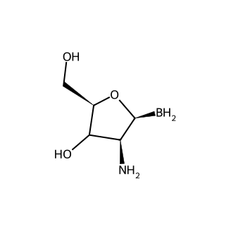 B[C@@H]1O[C@H](CO)C(O)[C@@H]1N